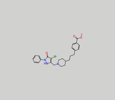 COC(=O)c1ccc(CCCC2CCN(Cc3[nH]n(-c4ccccc4)c(=O)c3Br)CC2)cc1